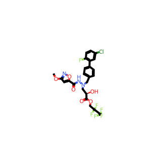 COc1cc(C(=O)NN(Cc2ccc(-c3cc(Cl)ccc3F)cc2)C[C@@H](O)C(=O)OCC(F)(F)C(F)(F)F)on1